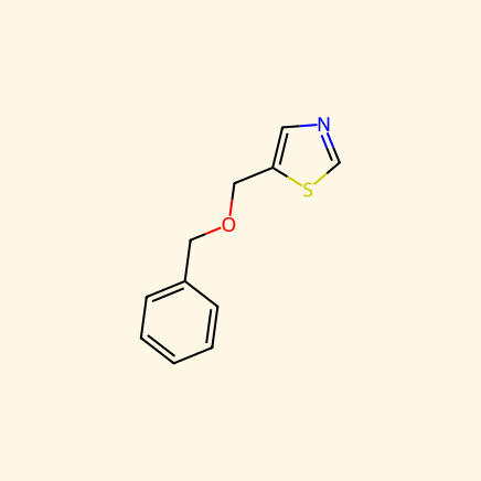 c1ccc(COCc2cncs2)cc1